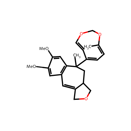 COc1cc2c(cc1OC)C(C)(C1=C/C=C(\C)OCO\C=C\1)CC1COCC1=C2